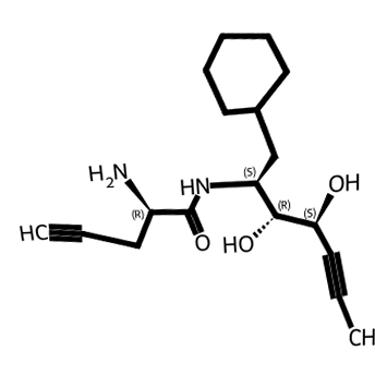 C#CC[C@@H](N)C(=O)N[C@@H](CC1CCCCC1)[C@@H](O)[C@@H](O)C#CC